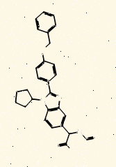 O=CNC(C(=O)O)c1ccc2c(c1)nc(-c1ccc(OCc3ccccc3)cc1)n2C1CCCC1